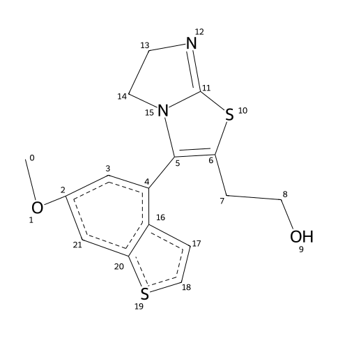 COc1cc(C2=C(CCO)SC3=NCCN32)c2ccsc2c1